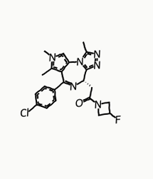 Cc1c2c(cn1C)-n1c(C)nnc1[C@H](CC(=O)N1CC(F)C1)N=C2c1ccc(Cl)cc1